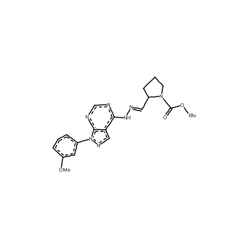 COc1cccc(-n2ncc3c(N/N=C/C4CCCN4C(=O)OC(C)(C)C)ncnc32)c1